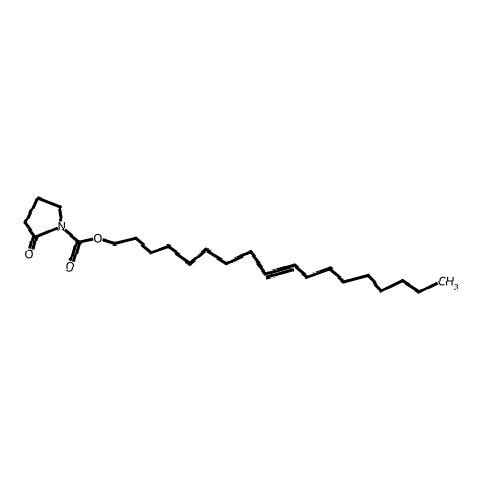 CCCCCCCCC=CCCCCCCCCOC(=O)N1CCCC1=O